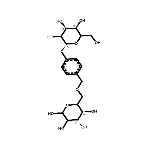 OCC1O[C@H](Cc2ccc(COCC3OC(O)C(O)[C@@H](O)[C@@H]3O)cc2)C(O)[C@@H](O)[C@H]1O